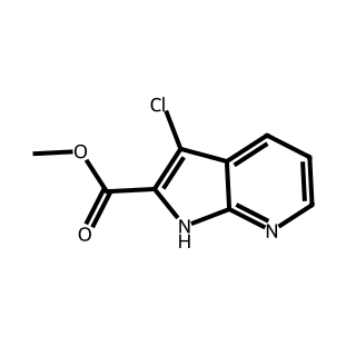 COC(=O)c1[nH]c2ncccc2c1Cl